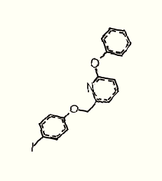 Ic1ccc(OCc2cccc(Oc3ccccc3)n2)cc1